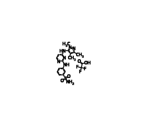 Cc1nn(C)c(Nc2ccnc(Nc3cccc(S(N)(=O)=O)c3)n2)c1C.O=C(O)C(F)(F)F